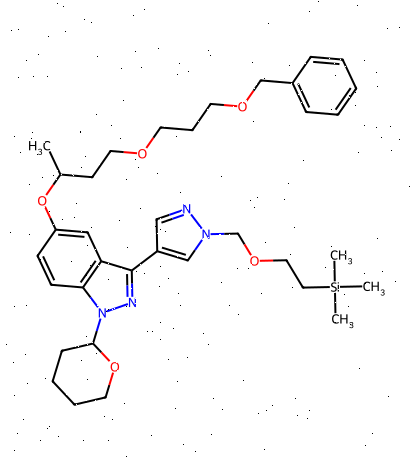 CC(CCOCCCOCc1ccccc1)Oc1ccc2c(c1)c(-c1cnn(COCC[Si](C)(C)C)c1)nn2C1CCCCO1